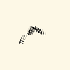 Cl.Cl.Cl.Cl.Cl.Cl.Cl.Cl.[NaH].[NaH].[NaH].[NaH].[NaH].[NaH].[NaH]